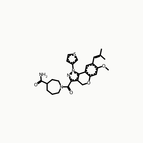 COc1cc2c(cc1C=C(C)C)-c1c(c(C(=O)N3CCCC(C(N)=O)CC3)nn1-c1ccsc1)CO2